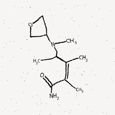 CC(C(N)=O)=C(C)C(C)N(C)C1COC1